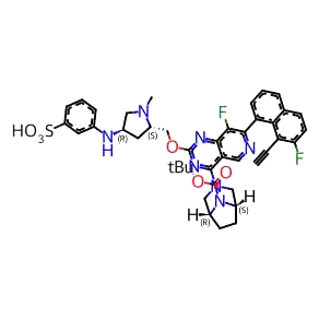 C#Cc1c(F)ccc2cccc(-c3ncc4c(N5C[C@H]6CC[C@@H](C5)N6C(=O)OC(C)(C)C)nc(OC[C@@H]5C[C@@H](Nc6cccc(S(=O)(=O)O)c6)CN5C)nc4c3F)c12